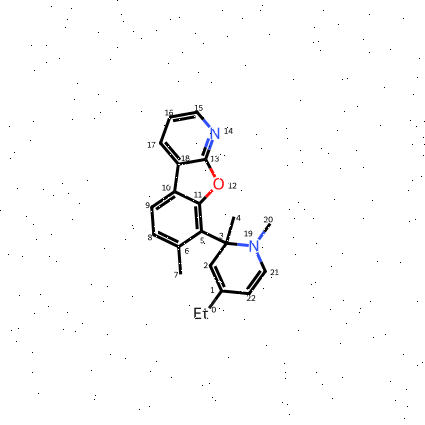 CCC1=CC(C)(c2c(C)ccc3c2oc2ncccc23)N(C)C=C1